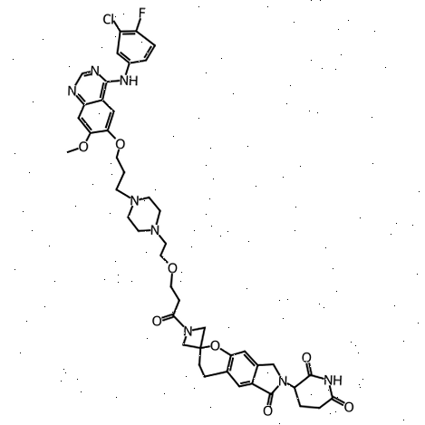 COc1cc2ncnc(Nc3ccc(F)c(Cl)c3)c2cc1OCCCN1CCN(CCOCCC(=O)N2CC3(CCc4cc5c(cc4O3)CN(C3CCC(=O)NC3=O)C5=O)C2)CC1